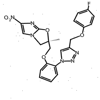 C[C@]1(COc2ccccc2-n2cc(COc3ccc(F)cc3)nn2)Cn2cc([N+](=O)[O-])nc2O1